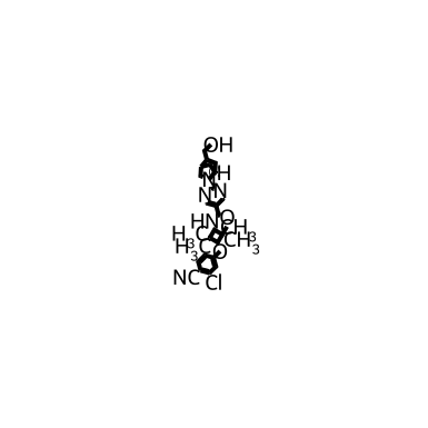 CC1(C)[C@H](NC(=O)c2cnc(N3CC4C[C@@H]3CC4CO)nc2)C(C)(C)[C@H]1Oc1ccc(C#N)c(Cl)c1